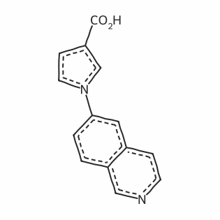 O=C(O)c1ccn(-c2ccc3cnccc3c2)c1